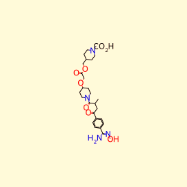 CC(CC(=O)c1ccc(/C(N)=N/O)cc1)C(=O)N1CCC(OCC(=O)OCC2CCN(C(=O)O)CC2)CC1